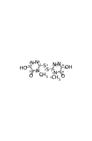 Cn1c(SSc2nnc(O)c(=O)n2C)nnc(O)c1=O